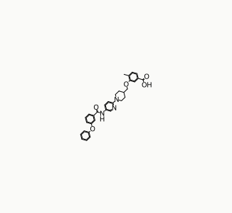 Cc1ccc(C(=O)O)cc1OCC1CCN(c2ccc(NC(=O)c3cccc(Oc4ccccc4)c3)cn2)CC1